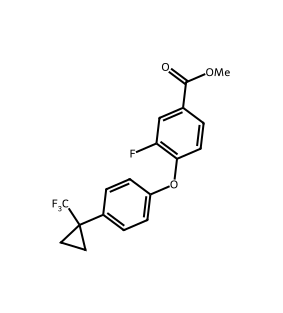 COC(=O)c1ccc(Oc2ccc(C3(C(F)(F)F)CC3)cc2)c(F)c1